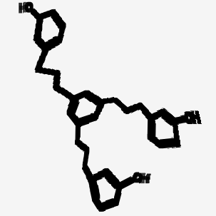 Oc1cccc(CCCc2cc(CCCc3cccc(O)c3)cc(CCCc3cccc(O)c3)c2)c1